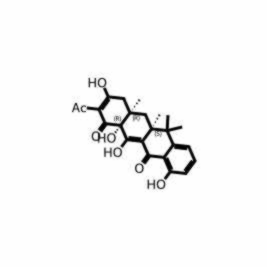 CC(=O)C1=C(O)C[C@@]2(C)C[C@]3(C)C(=C(O)[C@@]2(O)C1=O)C(=O)c1c(O)cccc1C3(C)C